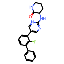 O=C1NCCC[C@H]1Nc1ncc(-c2cccc(-c3ccccc3)c2F)cn1